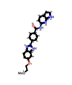 COCCOc1ccc2nc(-c3ccc(C(=O)Nc4ccc5cc[nH]c5n4)cc3)[nH]c2c1